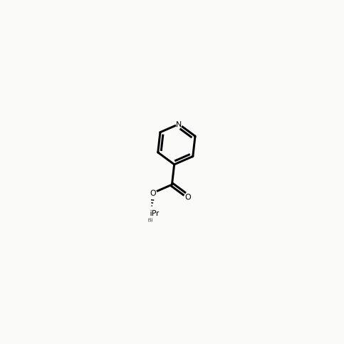 [CH2][C@@H](C)OC(=O)c1ccncc1